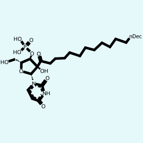 CCCCCCCCCCCCCCCCCCCCCC(=O)[C@@]1(O)[C@H](OP(=O)(O)O)[C@@H](CO)O[C@H]1n1ccc(=O)[nH]c1=O